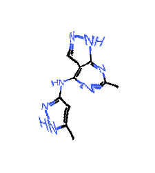 Cc1nc(Nc2cc(C)[nH]n2)c2cn[nH]c2n1